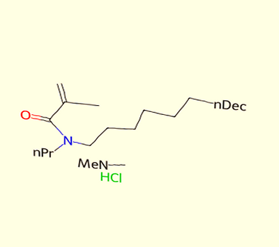 C=C(C)C(=O)N(CCC)CCCCCCCCCCCCCCCC.CNC.Cl